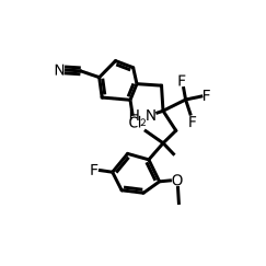 COc1ccc(F)cc1C(C)(C)CC(N)(Cc1ccc(C#N)cc1Cl)C(F)(F)F